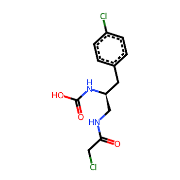 O=C(O)N[C@H](CNC(=O)CCl)Cc1ccc(Cl)cc1